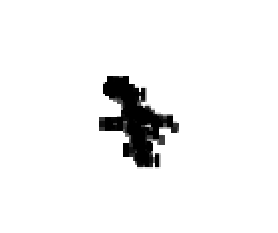 Cc1cc(C(=O)NC2CCNCC2)ccc1-c1ccc(C[C@H](NC(=O)[C@H]2CC[C@H](CN)CC2)C(=O)Nc2ccc(-c3nc(C(F)(F)C(F)(F)C(N)=O)n[nH]3)cc2)cc1.Cl